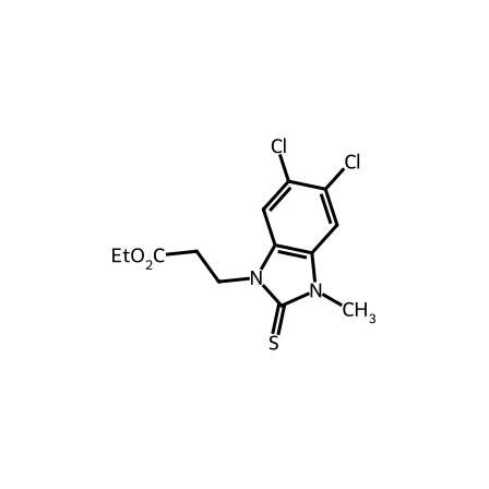 CCOC(=O)CCn1c(=S)n(C)c2cc(Cl)c(Cl)cc21